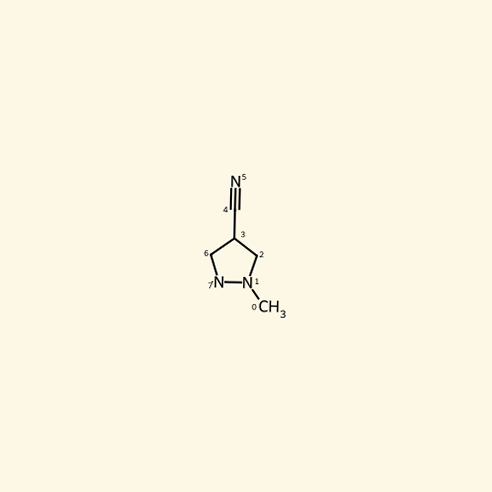 CN1CC(C#N)C[N]1